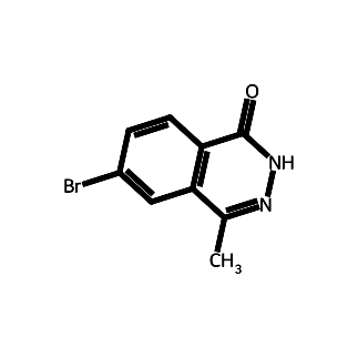 Cc1n[nH]c(=O)c2ccc(Br)cc12